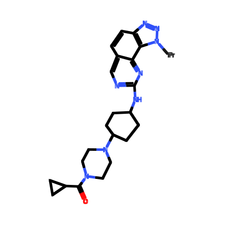 CC(C)n1nnc2ccc3cnc(NC4CCC(N5CCN(C(=O)C6CC6)CC5)CC4)nc3c21